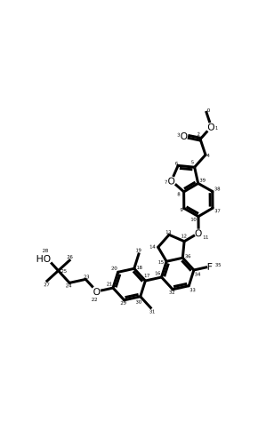 COC(=O)Cc1coc2cc(OC3CCc4c(-c5c(C)cc(OCCC(C)(C)O)cc5C)ccc(F)c43)ccc12